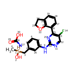 C[SH](O)(Cc1cccc(Nc2ncc(F)c(-c3cccc4c3OCC4)n2)c1)=NC(=O)O